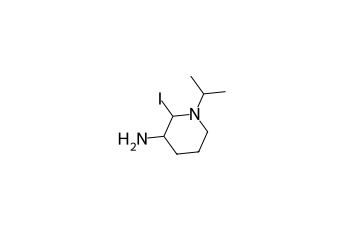 CC(C)N1CCCC(N)C1I